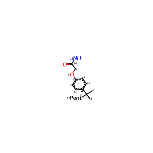 CCCCCC(C)(C)c1ccc(OCC([NH])=O)cc1